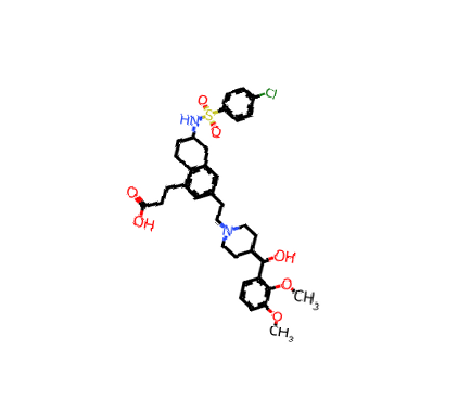 COc1cccc(C(O)C2CCN(CCc3cc(CCC(=O)O)c4c(c3)CC(NS(=O)(=O)c3ccc(Cl)cc3)CC4)CC2)c1OC